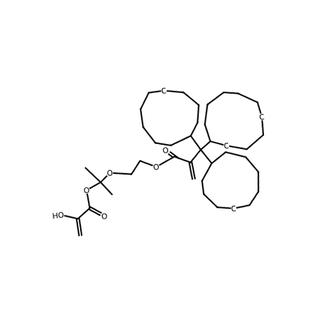 C=C(O)C(=O)OC(C)(C)OCCOC(=O)C(=C)C(C1CCCCCCCCC1)(C1CCCCCCCCC1)C1CCCCCCCCC1